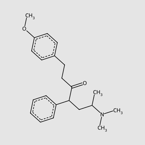 COc1ccc(CCC(=O)C(CC(C)N(C)C)c2ccccc2)cc1